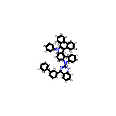 c1ccc(-c2cccc(-c3nc(-n4c5ccccc5c5c6c7c8ccccc8c8ccccc8c7n(-c7ccccc7)c6ccc54)nc4ccccc34)c2)cc1